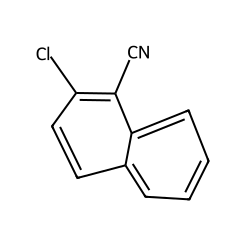 N#Cc1c(Cl)ccc2ccccc12